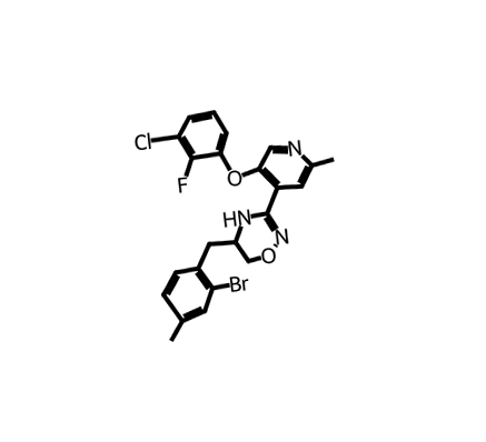 Cc1ccc(CC2CON=C(c3cc(C)ncc3Oc3cccc(Cl)c3F)N2)c(Br)c1